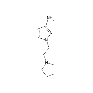 Nc1ccn(CCN2CCCC2)n1